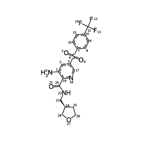 Nc1cc(S(=O)(=O)c2ccc(C(F)(F)F)cc2)cnc1C(=O)NC[C@H]1CCOC1